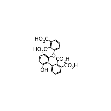 O=C(O)c1cccc(Oc2cccc(O)c2-c2cccc(C(=O)O)c2C(=O)O)c1C(=O)O